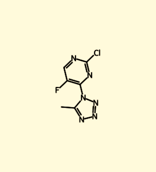 Cc1nnnn1-c1nc(Cl)ncc1F